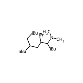 CCCCC(CC(C)CC)CC(C(C)C)C(C(C)CC)N(C)C